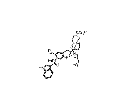 CN(C)CC1CN(C(O[C@H]2CC[C@H](C(=O)O)CC2)(C(=O)Cc2cc(Cl)c(NC(=O)c3cn(C)c4ccccc34)cc2F)N2CCCC2)C1